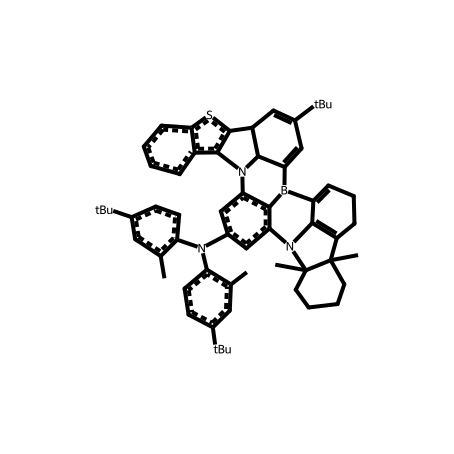 Cc1cc(C(C)(C)C)ccc1N(c1cc2c3c(c1)N1C4=C(CCC=C4B3C3=CC(C(C)(C)C)=CC4c5sc6ccccc6c5N2C34)C2(C)CCCCC12C)c1ccc(C(C)(C)C)cc1C